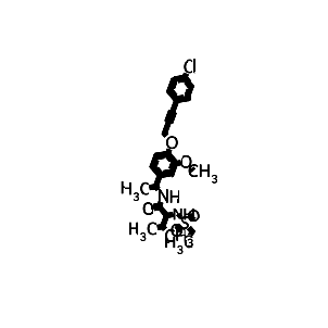 CCS(=O)(=O)NC(C(=O)NC(C)c1ccc(OCC#Cc2ccc(Cl)cc2)c(OC)c1)C(C)C